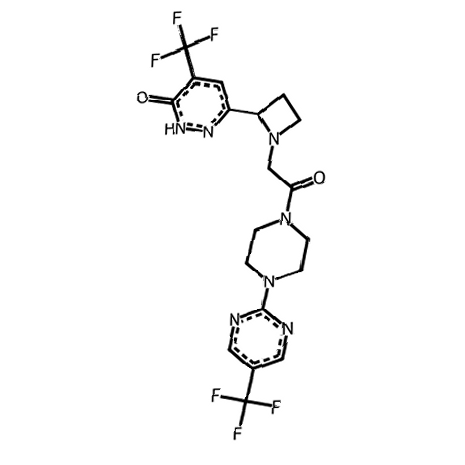 O=C(CN1CCC1c1cc(C(F)(F)F)c(=O)[nH]n1)N1CCN(c2ncc(C(F)(F)F)cn2)CC1